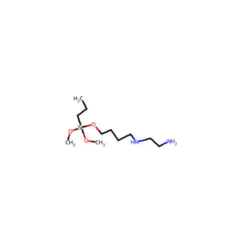 CCC[Si](OC)(OC)OCCCCNCCN